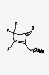 COC1=C(F)C(F)(F)C1=O